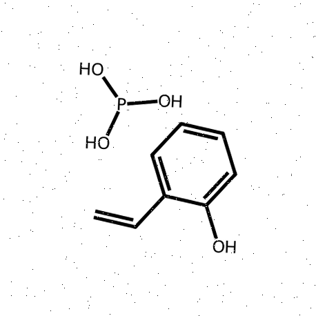 C=Cc1ccccc1O.OP(O)O